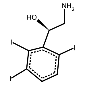 NC[C@H](O)c1c(I)ccc(I)c1I